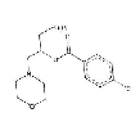 O=C(OC(CN1CCOCC1)CS(=O)(=O)O)c1ccc(C(F)(F)F)cc1